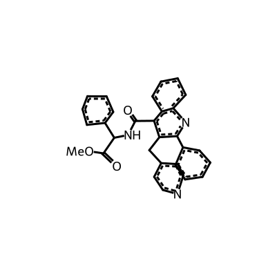 COC(=O)C(NC(=O)c1c(Cc2ccncc2)c(-c2ccccc2)nc2ccccc12)c1ccccc1